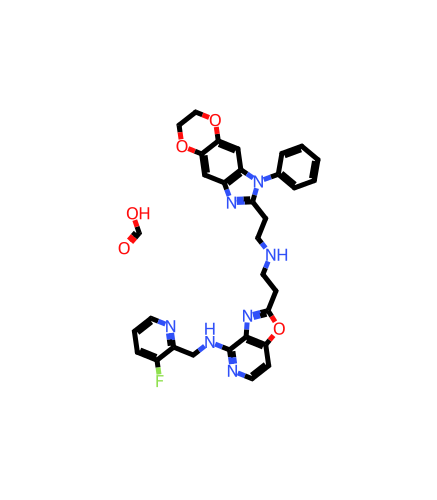 Fc1cccnc1CNc1nccc2oc(CCNCCc3nc4cc5c(cc4n3-c3ccccc3)OCCO5)nc12.O=CO